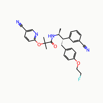 C[C@H](NC(=O)C(C)(C)Oc1ccc(C#N)cn1)[C@@H](Cc1ccc(OCCF)cc1)c1cccc(C#N)c1